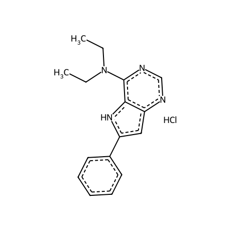 CCN(CC)c1ncnc2cc(-c3ccccc3)[nH]c12.Cl